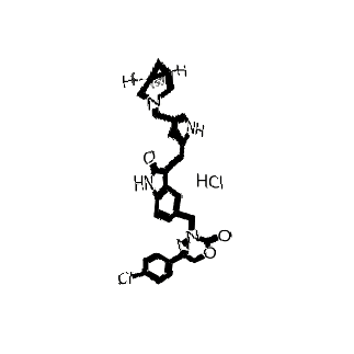 Cl.O=C1Nc2ccc(CN3N=C(c4ccc(Cl)cc4)COC3=O)cc2C1=Cc1cc(CN2C[C@H]3C[C@H]3C2)c[nH]1